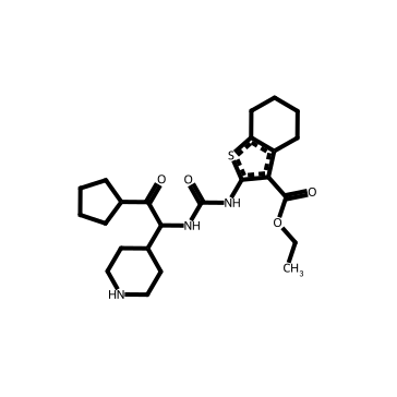 CCOC(=O)c1c(NC(=O)NC(C(=O)C2CCCC2)C2CCNCC2)sc2c1CCCC2